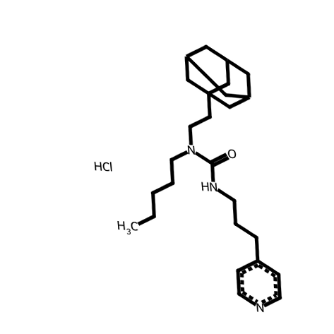 CCCCCN(CCC12CC3CC(CC(C3)C1)C2)C(=O)NCCCc1ccncc1.Cl